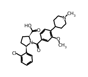 COc1cc(C(=O)N2[C@@H](c3ccccc3Cl)CC[C@H]2C(=O)O)ccc1C1CCN(C)CC1